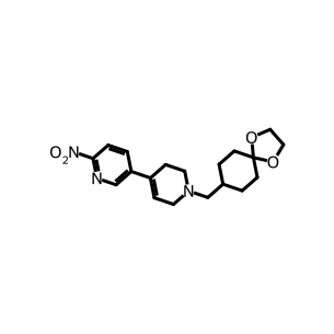 O=[N+]([O-])c1ccc(C2=CCN(CC3CCC4(CC3)OCCO4)CC2)cn1